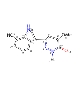 CCn1nc(-c2c[nH]c3c(C#N)cccc23)cc(OC)c1=O